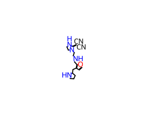 N#CC(C#N)=C1NCCN1CCNCc1occc1CC1CCCN1